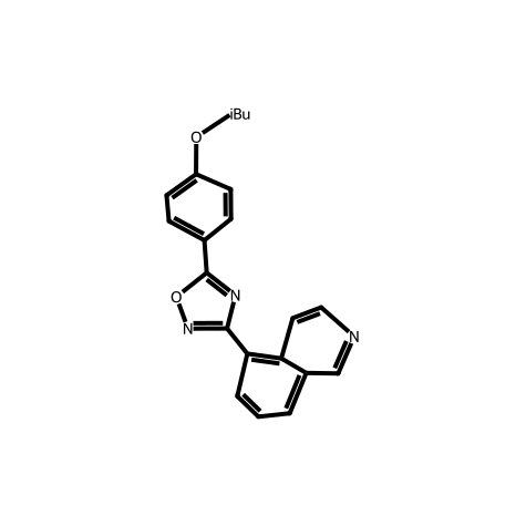 CCC(C)Oc1ccc(-c2nc(-c3cccc4cnccc34)no2)cc1